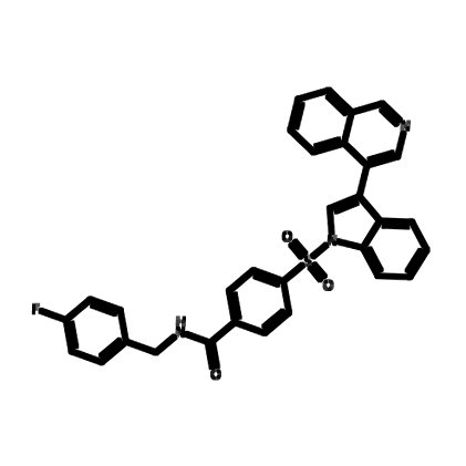 O=C(NCc1ccc(F)cc1)c1ccc(S(=O)(=O)n2cc(-c3cncc4ccccc34)c3ccccc32)cc1